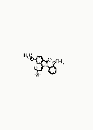 COc1ccc2c(c1)/C(=C\C(=O)O)N(c1ccccc1SC)C2=O